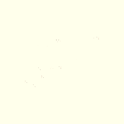 COC(=O)C1(Cn2cnnn2)C=C(c2cccc(C#N)c2)NO1